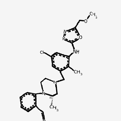 COCc1nnc(Nc2cc(Cl)cc(CN3CCN(c4ccccc4C=O)[C@@H](C)C3)c2C)o1